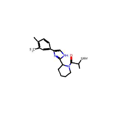 CSC(C)C(=O)N1CCCCC1c1nc(-c2ccc(C)c(C(F)(F)F)c2)c[nH]1